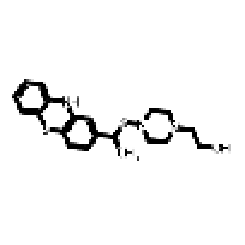 CC(SN1CCN(CCO)CC1)c1ccc2c(c1)Nc1ccccc1S2